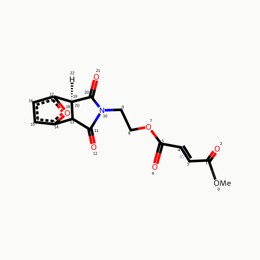 COC(=O)/C=C/C(=O)OCCN1C(=O)C2c3ccc(o3)[C@H]2C1=O